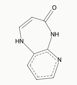 O=C1C=CNc2cccnc2N1